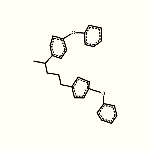 [CH2]C(CCCc1ccc(Oc2ccccc2)cc1)c1ccc(Oc2ccccc2)cc1